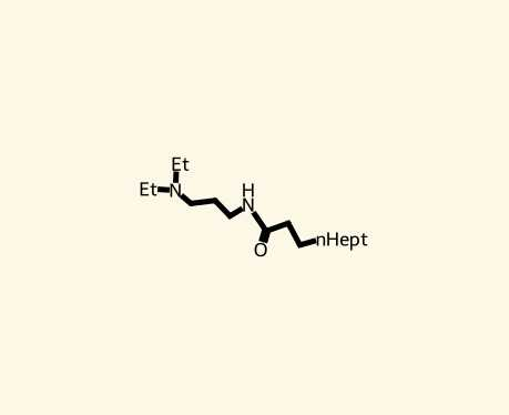 CCCCCCCCCC(=O)NCCCN(CC)CC